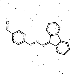 O=Cc1ccc(/C=N/N=C2c3ccccc3-c3ccccc32)cc1